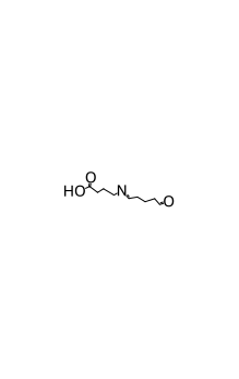 O=CCCC/C=N/CCCC(=O)O